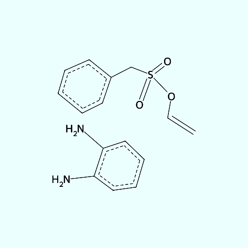 C=COS(=O)(=O)Cc1ccccc1.Nc1ccccc1N